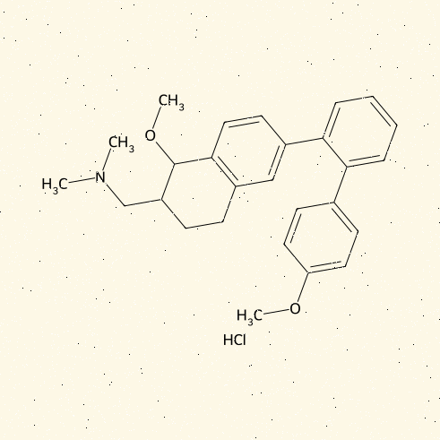 COc1ccc(-c2ccccc2-c2ccc3c(c2)CCC(CN(C)C)C3OC)cc1.Cl